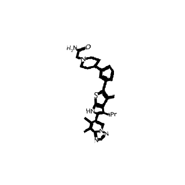 Cc1c(-c2[nH]c3sc(-c4cccc(C5CCN(CC(N)=O)CC5)c4)c(C)c3c2C(C)C)cn2ncnc2c1C